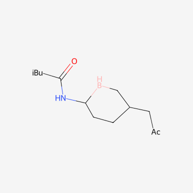 CCC(C)C(=O)NC1BCC(CC(C)=O)CC1